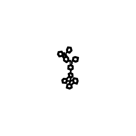 c1ccc(N(c2ccc(-c3ccc4c(c3)-c3ccccc3C43c4ccccc4-c4ccccc43)cc2)c2ccc3c4ccccc4n(-c4ccccc4)c3c2)cc1